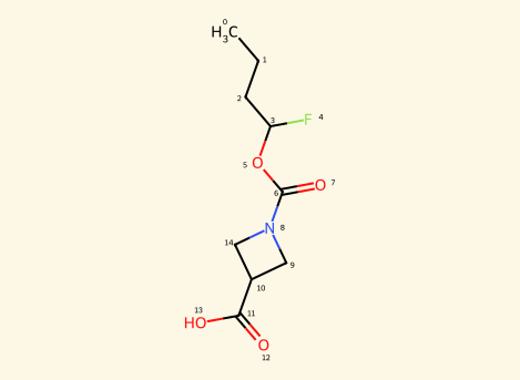 CCCC(F)OC(=O)N1CC(C(=O)O)C1